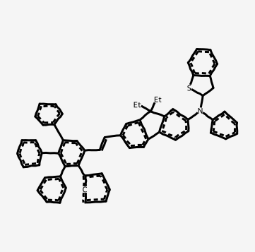 CCC1(CC)c2cc(/C=C/c3cc(-c4ccccc4)c(-c4ccccc4)c(-c4ccccc4)c3-c3ccccc3)ccc2-c2ccc(N(c3ccccc3)C3Cc4ccccc4S3)cc21